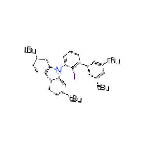 CC(C)(C)c1cc(-c2cccc(-n3c4cc(C(C)(C)C)ccc4c4ccc(C(C)(C)C)cc43)c2I)cc(C(C)(C)C)c1